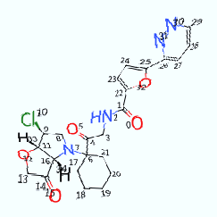 O=C(NCC(=O)C1(N2C[C@H](Cl)[C@H]3OCC(=O)[C@H]32)CCCCC1)c1ccc(-c2cccnn2)o1